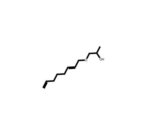 C=CCCCC=CCOCC(C)O